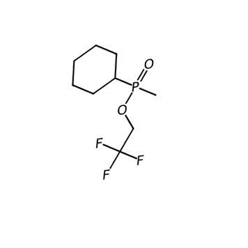 CP(=O)(OCC(F)(F)F)C1CCCCC1